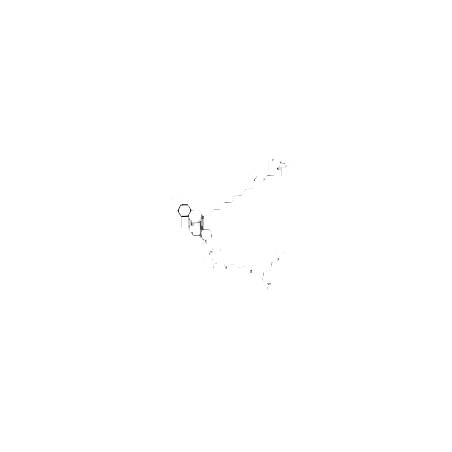 CC(OC(=O)CCCC(=O)OC(CC(=O)C=O)CC(=O)C=O)OC(=O)O[C@H]1CC[C@H]2[C@@H]3[C@H](CCCCCCCCC[S+]([O-])CCCC(F)(F)C(F)(F)F)Cc4cc(O)ccc4[C@H]3CC[C@]12C